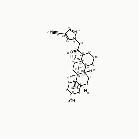 C[C@]12CC[C@@H](O)C[C@@H]1CC[C@@H]1[C@@H]2CC[C@]2(C)[C@@H](C(=O)Cn3cc(C#N)cn3)CCC[C@@H]12